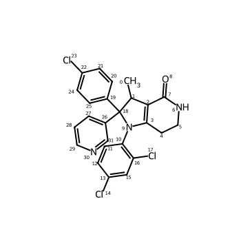 CC1C2=C(CCNC2=O)N(c2ccc(Cl)cc2Cl)C1(c1ccc(Cl)cc1)c1cccnc1